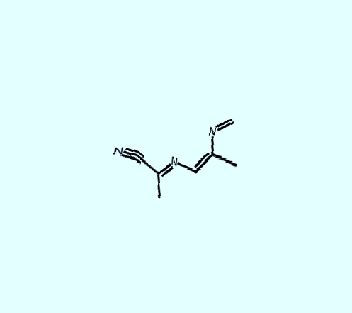 C=N/C(C)=C\N=C(/C)C#N